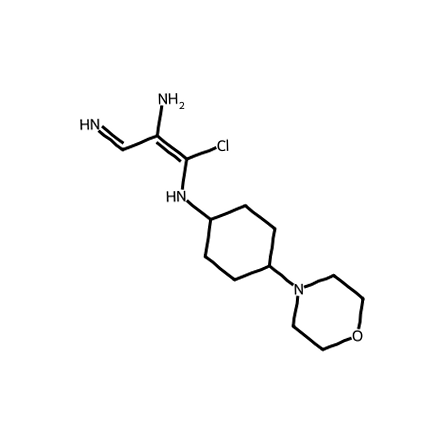 N=C/C(N)=C(/Cl)NC1CCC(N2CCOCC2)CC1